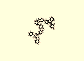 c1ccc(-c2nc(-c3ccccc3)nc(-c3ccc4oc5ccc(-c6cccc7oc8ccc(-c9ccc%10c(c9)c9ccccc9n%10-c9ccccc9)cc8c67)cc5c4c3)n2)cc1